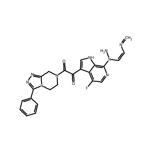 C=N/C=C\N(N)c1ncc(F)c2c(C(=O)C(=O)N3CCn4c(nnc4-c4ccccc4)C3)c[nH]c12